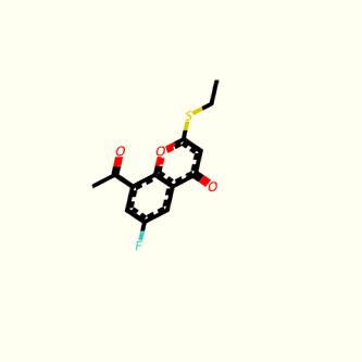 CCSc1cc(=O)c2cc(F)cc(C(C)=O)c2o1